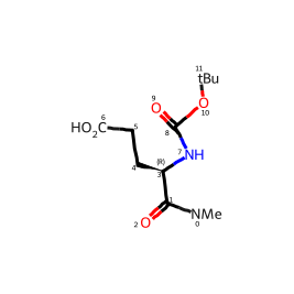 CNC(=O)[C@@H](CCC(=O)O)NC(=O)OC(C)(C)C